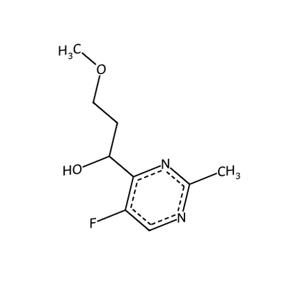 COCCC(O)c1nc(C)ncc1F